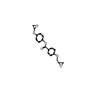 O=C(Oc1ccc(OC2CO2)cc1)c1ccc(OCC2CO2)cc1